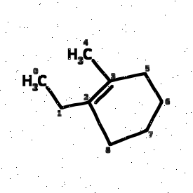 CCC1=C(C)CCCC1